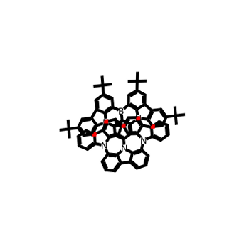 CC(C)(C)c1ccc2c(c1)c1cc(C(C)(C)C)cc3c1n2-c1cc(-n2c4c(-n5c6ccccc6c6ccccc65)cccc4c4cccc(-n5c6ccccc6c6ccccc65)c42)cc2c1B3c1cc(C(C)(C)C)cc3c4cc(C(C)(C)C)ccc4n-2c13